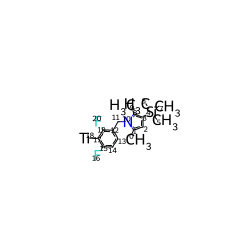 Cc1cc([Si](C)(C)C)c(C)n1Cc1ccc(F)[c]([Ti])c1F